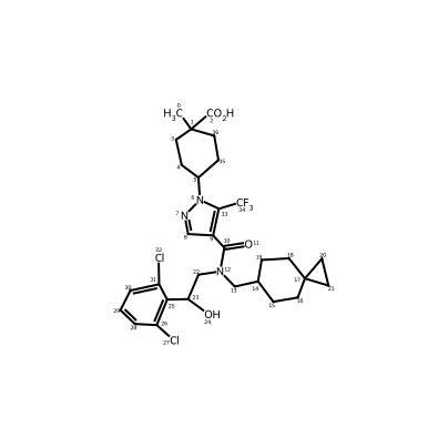 CC1(C(=O)O)CCC(n2ncc(C(=O)N(CC3CCC4(CC3)CC4)CC(O)c3c(Cl)cccc3Cl)c2C(F)(F)F)CC1